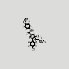 CSCCC1(C)CN(C(=O)Nc2ccc(OC(F)(F)F)cc2)N=C1c1ccc(Cl)cc1